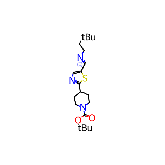 CC(C)(C)CC/N=C/c1cnc(C2CCN(C(=O)OC(C)(C)C)CC2)s1